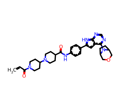 C=CC(=O)N1CCC(N2CCC(C(=O)Nc3ccc(-c4cc5c(N6C7CCC6COC7)ncnc5[nH]4)cc3)CC2)CC1